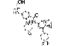 CC(C)(CO)Nc1ccc(C(=O)Nc2cn3ccnc3c(N3CCC(F)(F)CC3)n2)c(N2CCC3(CC2)CC3)c1